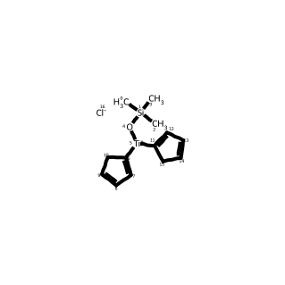 C[Si](C)(C)[O][Ti+]([C]1=CC=CC1)[C]1=CC=CC1.[Cl-]